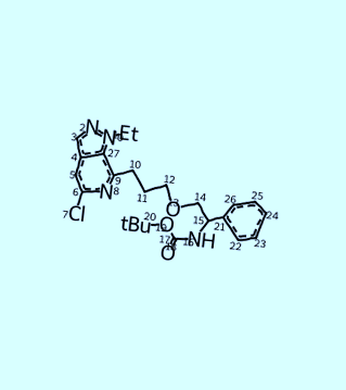 CCn1ncc2cc(Cl)nc(CCCOCC(NC(=O)OC(C)(C)C)c3ccccc3)c21